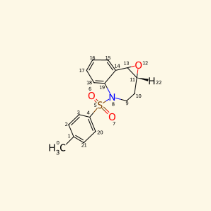 Cc1ccc(S(=O)(=O)N2CC[C@H]3OC3c3ccccc32)cc1